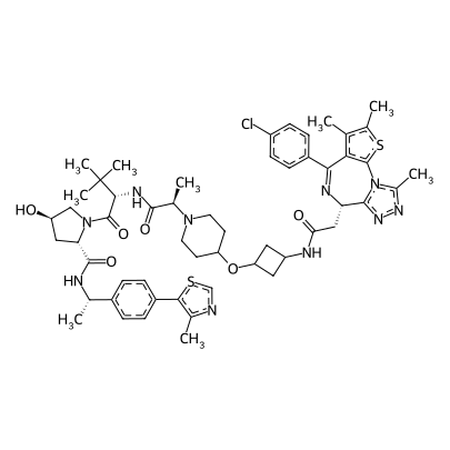 Cc1ncsc1-c1ccc([C@H](C)NC(=O)[C@@H]2C[C@@H](O)CN2C(=O)[C@@H](NC(=O)[C@@H](C)N2CCC(OC3CC(NC(=O)C[C@@H]4N=C(c5ccc(Cl)cc5)c5c(sc(C)c5C)-n5c(C)nnc54)C3)CC2)C(C)(C)C)cc1